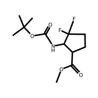 COC(=O)C1CCC(F)(F)C1NC(=O)OC(C)(C)C